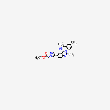 CCOC(=O)Cn1cc(-c2ccc3nc(C)nc(N[C@H](C)c4cccc(C)c4)c3c2)cn1